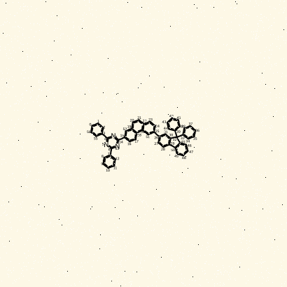 c1ccc(-c2nc(-c3ccccc3)nc(-c3ccc4c(ccc5ccc(-c6ccc7c(c6)C(c6ccccc6)(c6ccccc6)c6ccccc6-7)cc54)c3)n2)cc1